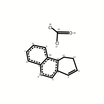 C1=Cc2cnc3ccccc3c2CC1.O=C(Cl)Cl